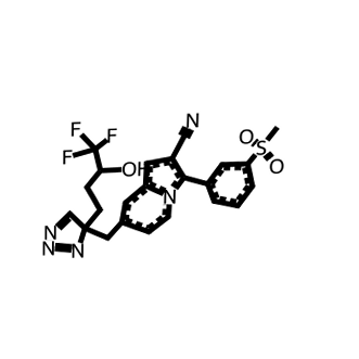 CS(=O)(=O)c1cccc(-c2c(C#N)cc3cc(CC4(CCC(O)C(F)(F)F)C=NN=N4)ccn23)c1